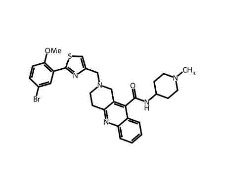 COc1ccc(Br)cc1-c1nc(CN2CCc3nc4ccccc4c(C(=O)NC4CCN(C)CC4)c3C2)cs1